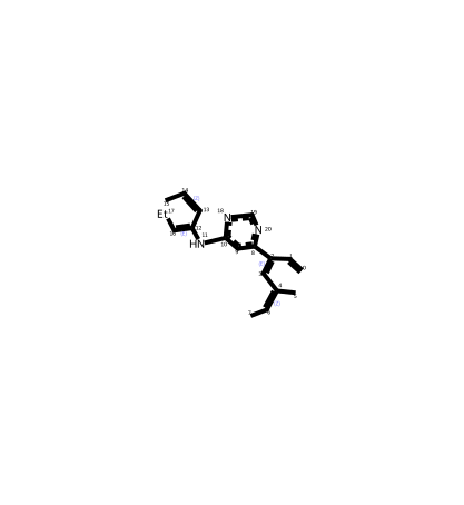 C=C/C(=C\C(C)=C/C)c1cc(NC(/C=C\C)=C/CC)ncn1